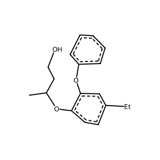 CCc1ccc(OC(C)CCO)c(Oc2ccccc2)c1